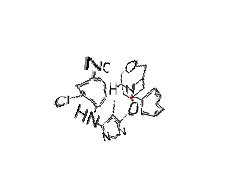 [C-]#[N+]c1ccc(Nc2ncnc(O[C@@H]3CC4COC[C@@H](C3)N4Cc3ccccc3)c2C)c(Cl)c1